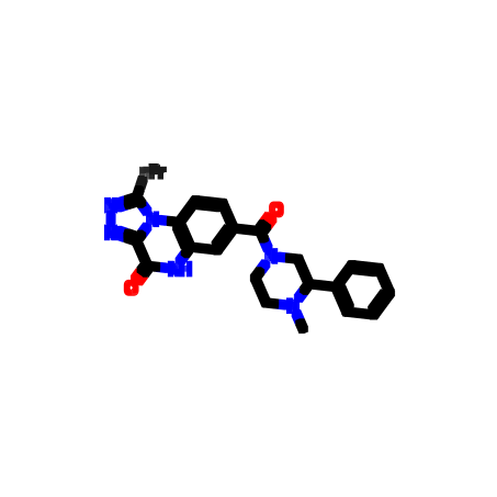 CCCc1nnc2c(=O)[nH]c3cc(C(=O)N4CCN(C)C(c5ccccc5)C4)ccc3n12